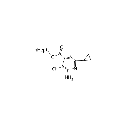 CCCCCCCOC(=O)c1nc(C2CC2)nc(N)c1Cl